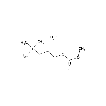 CO[PH](=O)OCCC[Si](C)(C)C.O